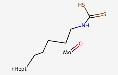 CCCCCCCCCCCCNC(=S)S.[O]=[Mo]